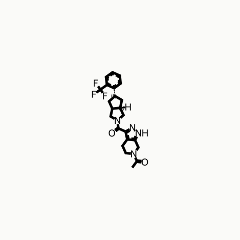 CC(=O)N1CCc2c(C(=O)N3CC4C[C@H](c5ccccc5C(F)(F)F)C[C@@H]4C3)n[nH]c2C1